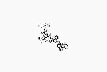 CN(C)CCNC(=O)c1nc(NC(=O)N[C@@]2(C=O)C=C[C@@H](Oc3ccc4nnc([C@@H]5COCCN5C)n4c3)c3ccccc32)cc(C(C)(C)C)n1